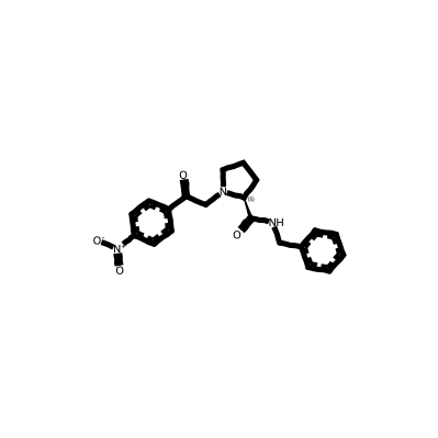 O=C(CN1CCC[C@H]1C(=O)NCc1ccccc1)c1ccc([N+](=O)[O-])cc1